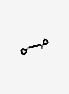 B(=C/C=C/C=C/Nc1ccccc1)\c1ccccc1